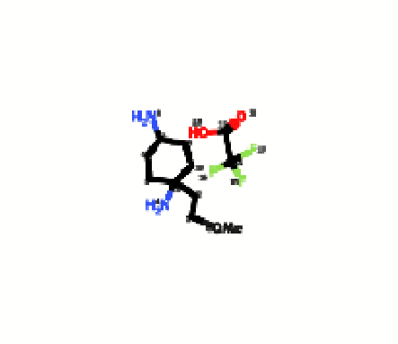 COCCC1(N)CCC(N)CC1.O=C(O)C(F)(F)F